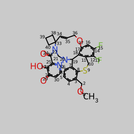 COCc1cccc2c1SCc1c(F)c(F)cc3c1C2N1CN(C(=O)c2c(O)c(=O)ccn21)C1(/C=C/CO3)CCC1